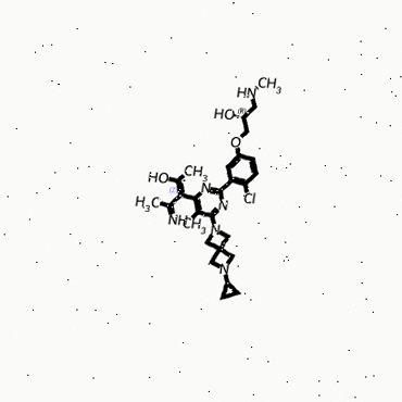 CNC[C@@H](O)COc1ccc(Cl)c(-c2nc(/C(C(C)=N)=C(\C)O)c(C)c(N3CC4(C3)CN(C3CC3)C4)n2)c1